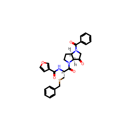 O=C(N[C@@H](CSCc1ccccc1)C(=O)N1CC[C@@H]2[C@H]1C(=O)CN2C(=O)c1ccccc1)c1ccoc1